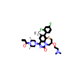 C=CC(=O)N1[C@H](C)CN(c2nc(=O)n3c4c(c(-c5ccc(F)cc5F)c(C(F)(F)F)cc24)SC[C@@H](OCCN(C)C)C3)C[C@@H]1C